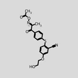 CC(=O)O/N=C(\C)C(=O)c1ccc(Sc2ccc(OCCO)cc2C#N)cc1